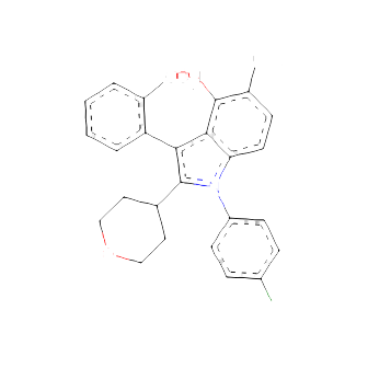 Cc1ccc2c(c1O)c(-c1ccccc1C(=O)O)c(C1CCOCC1)n2-c1ccc(F)cc1